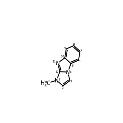 Cn1ccn2c3ccccc3nc12